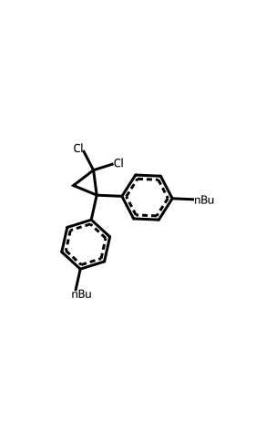 CCCCc1ccc(C2(c3ccc(CCCC)cc3)CC2(Cl)Cl)cc1